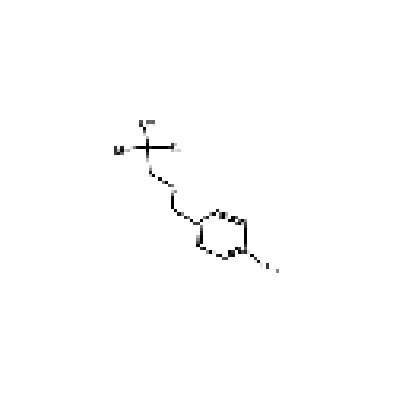 CCC(O)(CC)COCc1ccc(C)cc1